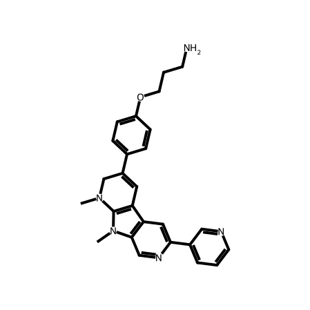 CN1CC(c2ccc(OCCCN)cc2)=Cc2c1n(C)c1cnc(-c3cccnc3)cc21